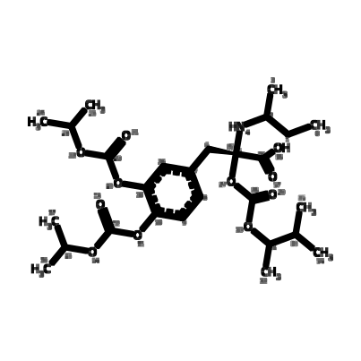 CCC(C)N[C@@](Cc1ccc(OC(=O)OC(C)C)c(OC(=O)OC(C)C)c1)(OC(=O)OC(C)C(C)C)C(=O)O